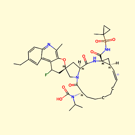 CCc1ccc2nc(C)c3c(c2c1)C(F)C[C@]1(C[C@H]2C(=O)N[C@]4(C(=O)NS(=O)(=O)C5(C)CC5)C[C@H]4/C=C\CCCCC[C@H](N(C(=O)O)C(C)C)C(=O)N2C1)O3